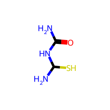 NC(=O)NC(N)S